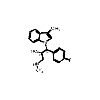 CNC[C@@H](O)[C@H](c1ccc(F)cc1)n1cc(C)c2ccccc21